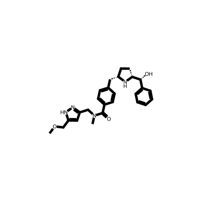 COCc1cc(CN(C)C(=O)c2ccc(C[C@@H]3CC[C@H]([C@H](O)c4ccccc4)N3)cc2)n[nH]1